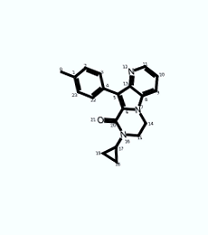 Cc1ccc(-c2c3n(c4cccnc24)CCN(C2CC2)C3=O)cc1